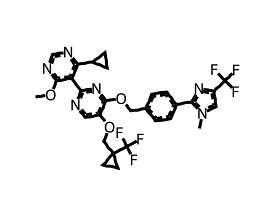 COc1ncnc(C2CC2)c1-c1ncc(OCC2(C(F)(F)F)CC2)c(OCc2ccc(-c3nc(C(F)(F)F)cn3C)cc2)n1